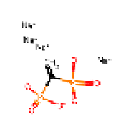 C=C(P(=O)([O-])[O-])P(=O)([O-])[O-].[Na+].[Na+].[Na+].[Na+]